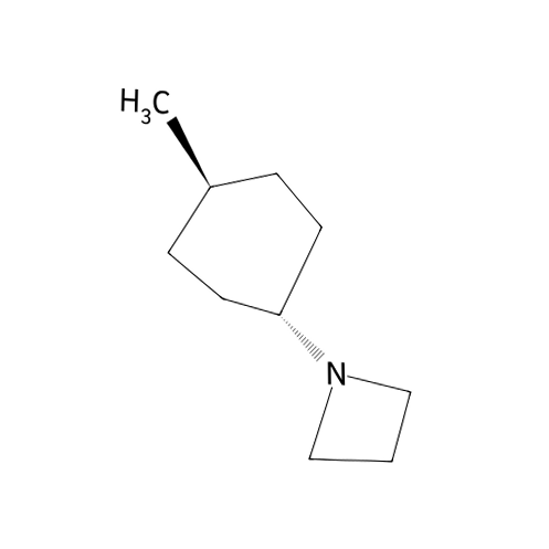 C[C@H]1CC[C@H](N2CCC2)CC1